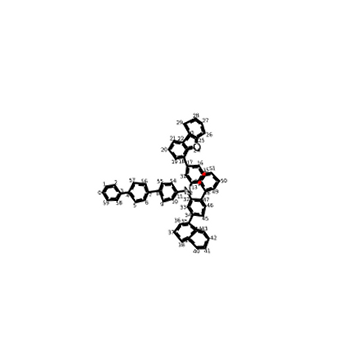 c1ccc(-c2ccc(-c3ccc(N(c4cccc(-c5cccc6c5oc5ccccc56)c4)c4cc(-c5cccc6ccccc56)ccc4-c4ccccc4)cc3)cc2)cc1